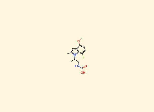 COc1ccc(F)c2c1cc(C)n2C(C)CNC(=O)O